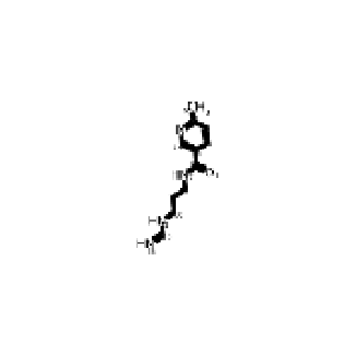 Cc1ccc(C(=O)NCCCNC=N)cn1